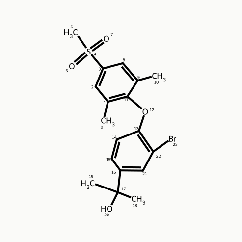 Cc1cc(S(C)(=O)=O)cc(C)c1Oc1ccc(C(C)(C)O)cc1Br